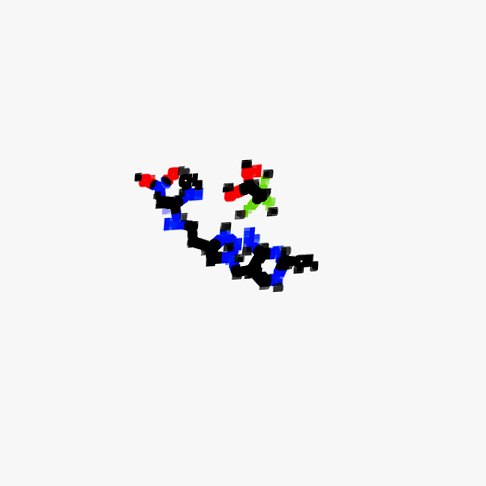 CN/C(=C\[N+](=O)[O-])NCCc1cn(Cc2cnc(C)nc2N)nn1.O=C(O)C(F)(F)F